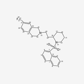 O=S(=O)(c1cccc2ccccc12)N1CCCCC1CCN1CCc2ccc(C(F)(F)F)cc2C1